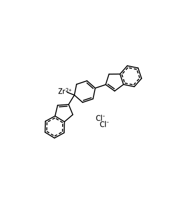 [Cl-].[Cl-].[Zr+2][C]1(C2=Cc3ccccc3C2)C=CC(C2=Cc3ccccc3C2)=CC1